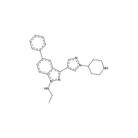 CCNn1nc(-c2cnn(C3CCNCC3)c2)c2cc(-c3ccccc3)ccc21